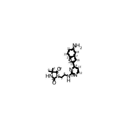 CC1(C)NC(=O)N(CCNc2nccc(-c3cc4cc(N)ccc4s3)n2)C1=O